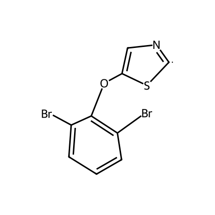 Brc1cccc(Br)c1Oc1cn[c]s1